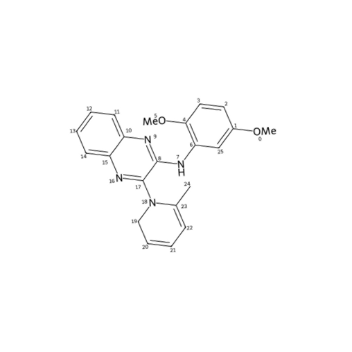 COc1ccc(OC)c(Nc2nc3ccccc3nc2N2CC=CC=C2C)c1